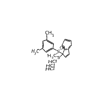 Cc1cc(C)cc([Si](C)(C)[C]2([Ti])C=Cc3ccccc32)c1.Cl.Cl.Cl